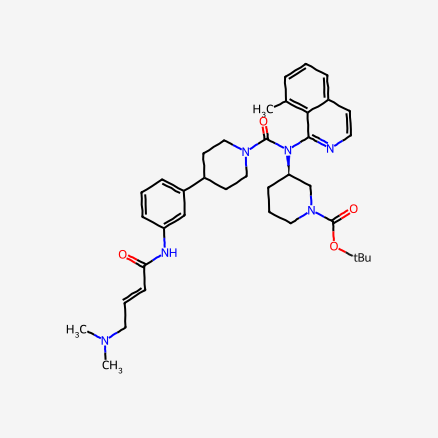 Cc1cccc2ccnc(N(C(=O)N3CCC(c4cccc(NC(=O)/C=C/CN(C)C)c4)CC3)[C@@H]3CCCN(C(=O)OC(C)(C)C)C3)c12